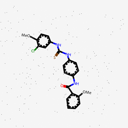 COc1ccc(NC(=S)Nc2ccc(NC(=O)c3ccccc3OC)cc2)cc1Cl